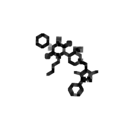 CCCCN1C(=O)[C@H](C2CCCCC2)NC(=O)C1C1CCN(Cc2c(C)nn(-c3ccccc3)c2C)CC1.Cl